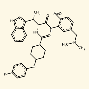 COc1ccc(CN(C)C)cc1NC(=O)[C@H](NC(=O)N1CCC(Oc2ccc(F)cc2)CC1)[C@@H](C)c1c[nH]c2ccccc12